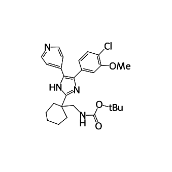 COc1cc(-c2nc(C3(CNC(=O)OC(C)(C)C)CCCCC3)[nH]c2-c2ccncc2)ccc1Cl